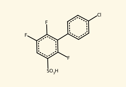 O=S(=O)(O)c1cc(F)c(F)c(-c2ccc(Cl)cc2)c1F